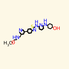 COCCNCc1cncc(-c2ccc3nc(Nc4cccc(NC5CCC(O)CC5)n4)sc3c2)c1